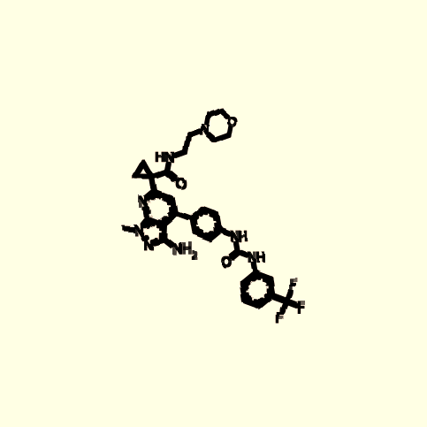 Cn1nc(N)c2c(-c3ccc(NC(=O)Nc4cccc(C(F)(F)F)c4)cc3)cc(C3(C(=O)NCCN4CCOCC4)CC3)nc21